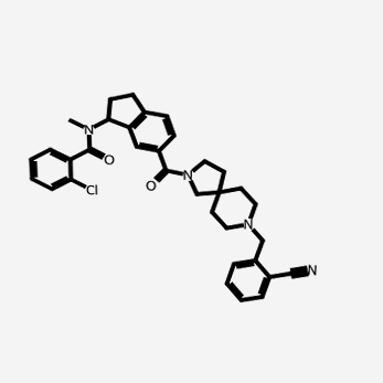 CN(C(=O)c1ccccc1Cl)C1CCc2ccc(C(=O)N3CCC4(CCN(Cc5ccccc5C#N)CC4)C3)cc21